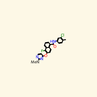 CNc1nccc(Oc2ccc3c(C(=O)Nc4ccc(C)c(Cl)c4)cccc3c2F)n1